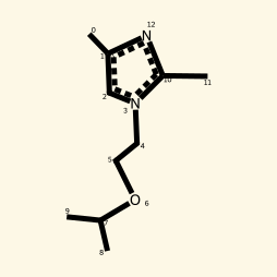 Cc1cn(CCOC(C)C)c(C)n1